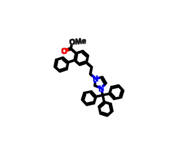 COC(=O)c1ccc(CCN2C=CN(C(c3ccccc3)(c3ccccc3)c3ccccc3)C2)cc1-c1ccccc1